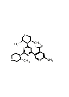 C[C@@H]1COCCN1c1nc(-c2cnc(N)cc2C(F)F)nc(N2[C@H](C)COC[C@@H]2C)n1